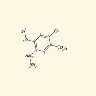 CCOc1cc(Cl)c(C(=O)O)cc1NN